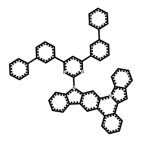 c1ccc(-c2cccc(-c3cc(-c4cccc(-c5ccccc5)c4)nc(-n4c5ccccc5c5cc6c7ccccc7c7cc8ccccc8n7c6cc54)n3)c2)cc1